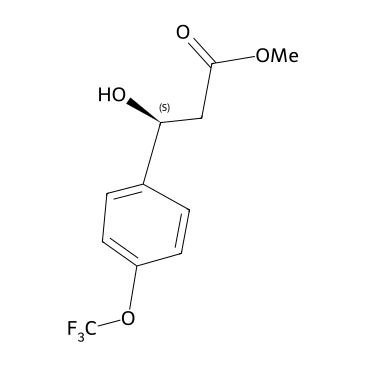 COC(=O)C[C@H](O)c1ccc(OC(F)(F)F)cc1